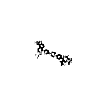 Cc1sc2c(c1C)C(c1ccc(N3CCN(c4ccc([C@@H]5c6ccc7n[nH]cc7c6C[C@@H](C)N5CC(F)(F)F)nc4)CC3)cc1)=N[C@@H](C)c1nnc(C)n1-2